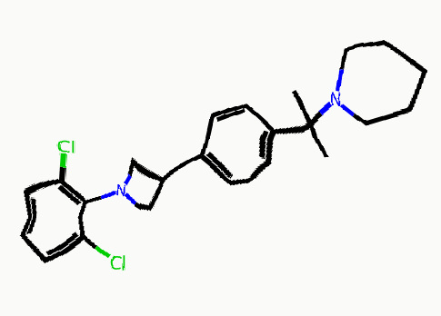 CC(C)(c1ccc(C2CN(c3c(Cl)cccc3Cl)C2)cc1)N1CCCCC1